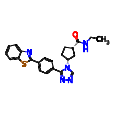 CCNC(=O)[C@H]1CC[C@@H](n2cnnc2-c2ccc(-c3nc4ccccc4s3)cc2)C1